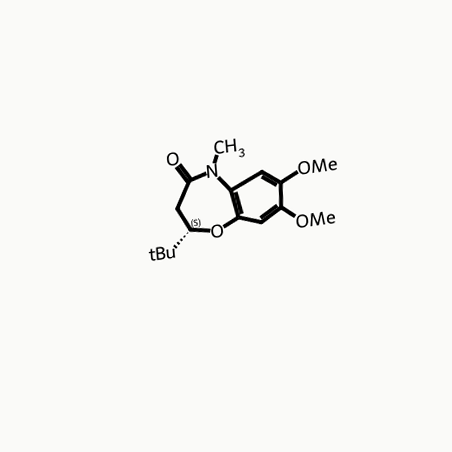 COc1cc2c(cc1OC)N(C)C(=O)C[C@@H](C(C)(C)C)O2